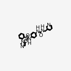 O=C(NCc1cccnc1)Nc1ccc(NS(=O)(=O)c2ccccc2-n2ccnc2)cc1